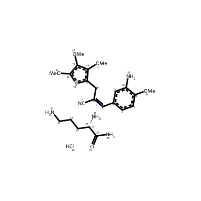 COc1ccc(/C=C(/C#N)Cc2sc(OC)c(OC)c2OC)cc1N.Cl.NCCC[C@H](N)C(N)=O